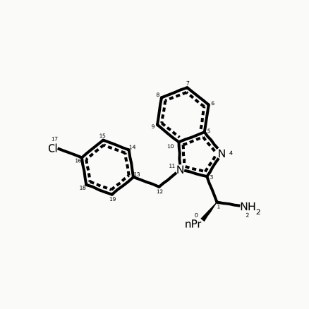 CCC[C@H](N)c1nc2ccccc2n1Cc1ccc(Cl)cc1